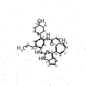 C=CC(=O)Nc1cc(NC2=NC(C3=CCC=CC=C3)=C3SC=CC3N2)c(CCC)cc1N1CCC(C)CC1